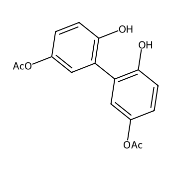 CC(=O)Oc1ccc(O)c(-c2cc(OC(C)=O)ccc2O)c1